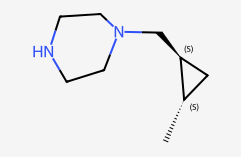 C[C@H]1C[C@@H]1CN1CCNCC1